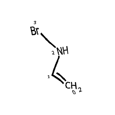 C=CNBr